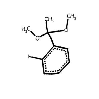 COC(C)(OC)c1ccccc1I